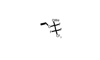 C=COC(F)(OC)C(F)(F)C(F)(F)F